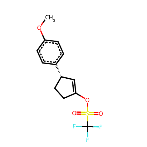 COc1ccc([C@@H]2C=C(OS(=O)(=O)C(F)(F)F)CC2)cc1